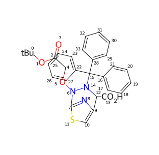 CC(C)(C)OC(=O)CON1c2nc(cs2)C(C(=O)O)N1C(c1ccccc1)(c1ccccc1)c1ccccc1